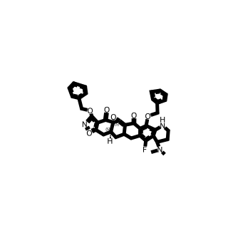 CN(C)C1CCNc2c(OCc3ccccc3)c3c(c(F)c21)CC1C[C@H]2Cc4onc(OCc5ccccc5)c4C(=O)[C@]24OC4=C1C3=O